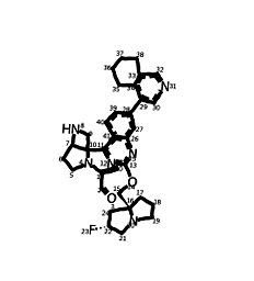 C=C(C=O)N1CCC2NCC21c1nc(OC[C@@]23CCCN2C[C@H](F)C3)nc2cc(-c3cncc4c3CCCC4)ccc12